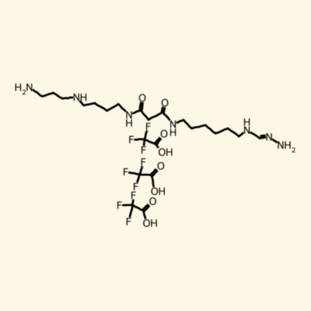 NCCCNCCCCNC(=O)CC(=O)NCCCCCCNC=NN.O=C(O)C(F)(F)F.O=C(O)C(F)(F)F.O=C(O)C(F)(F)F